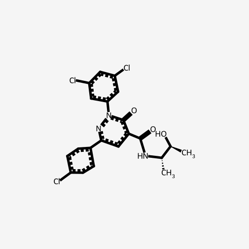 C[C@H](O)[C@H](C)NC(=O)c1cc(-c2ccc(Cl)cc2)nn(-c2cc(Cl)cc(Cl)c2)c1=O